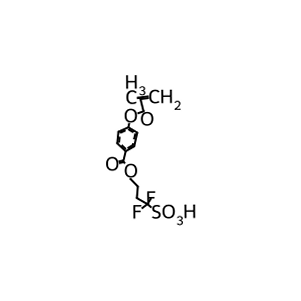 C=C(C)C(=O)Oc1ccc(C(=O)OCCCC(F)(F)S(=O)(=O)O)cc1